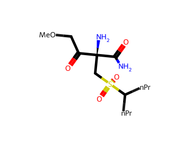 CCCC(CCC)S(=O)(=O)C[C@@](N)(C(N)=O)C(=O)COC